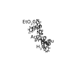 CCOC(=O)c1ncoc1[C@H](Cc1ccccc1)NC(=O)c1csc([C@@H](C[C@H](C(C)C)N(C)C(=O)[C@@H](NC(=O)[C@H]2CCCCN2C)[C@@H](C)CC)OC(C)=O)n1